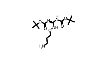 CC(C)(C)OC(=O)/N=C(\NOCCCN)NC(=O)OC(C)(C)C